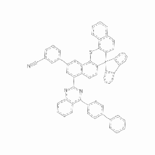 N#Cc1cccc(-c2cc(-c3nc(-c4ccc(-c5ccccc5)cc4)c4ccccc4n3)c3ccc4c(c3c2)Sc2c(ccc3ccccc23)C42c3ccccc3-c3ccccc32)c1